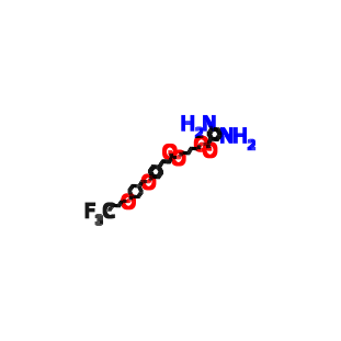 Nc1cc(N)cc(C(=O)OCCCCOC(=O)/C=C/c2ccc(OCC3CCC(OCCCC(F)(F)F)CC3)cc2)c1